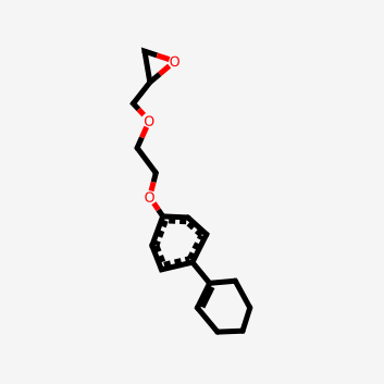 C1=C(c2ccc(OCCOCC3CO3)cc2)CCCC1